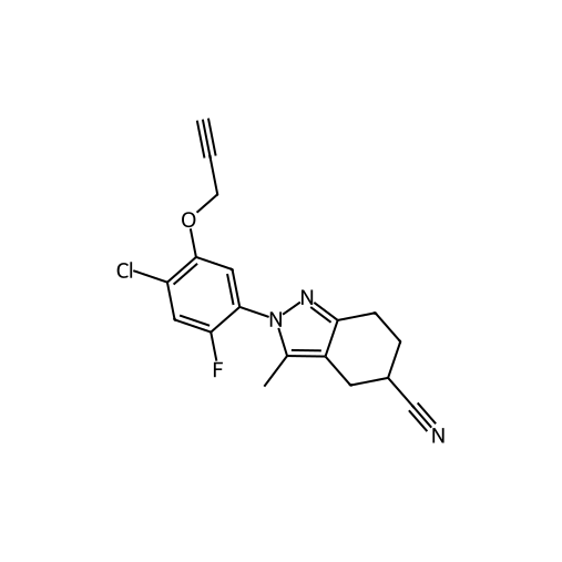 C#CCOc1cc(-n2nc3c(c2C)CC(C#N)CC3)c(F)cc1Cl